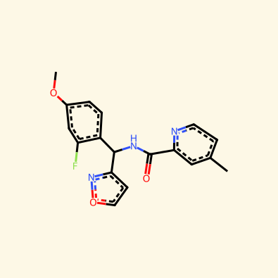 COc1ccc(C(NC(=O)c2cc(C)ccn2)c2ccon2)c(F)c1